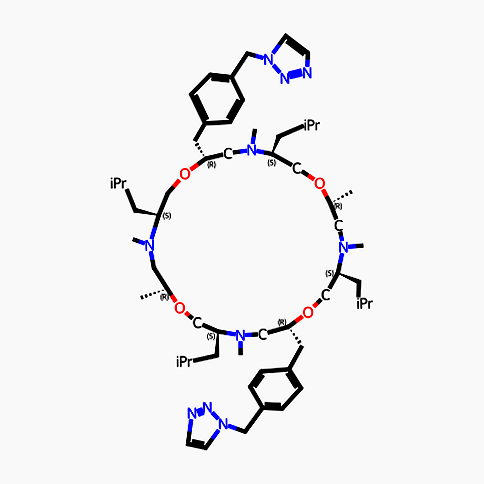 CC(C)C[C@H]1CO[C@H](C)CN(C)[C@@H](CC(C)C)CO[C@H](Cc2ccc(Cn3ccnn3)cc2)CN(C)[C@@H](CC(C)C)CO[C@H](C)CN(C)[C@@H](CC(C)C)CO[C@H](Cc2ccc(Cn3ccnn3)cc2)CN1C